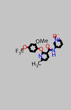 COc1cc(OC(F)(F)F)ccc1Oc1nc(C)ccc1C(=O)Nc1ccc[n+]([O-])c1